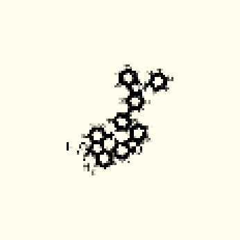 CC1(C)c2ccccc2-c2c(N(c3ccc(-c4ccc5c(c4)c4ccccc4n5-c4ccccc4)cc3)c3cccc4oc5ccccc5c34)cccc21